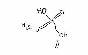 O=S(=O)(O)O.[SiH4].[Ti]